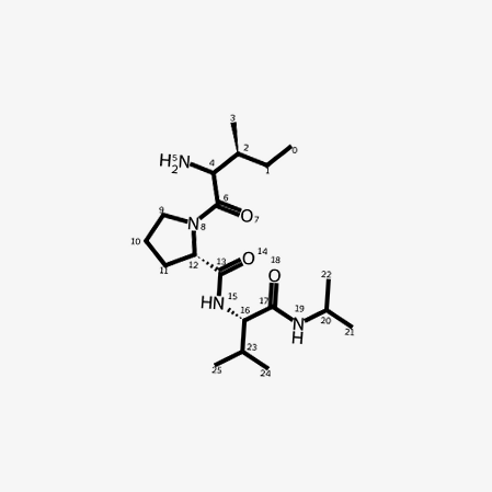 CC[C@H](C)C(N)C(=O)N1CCC[C@H]1C(=O)N[C@H](C(=O)NC(C)C)C(C)C